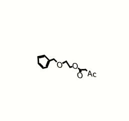 CC(=O)CC(=O)OCCOCc1ccccc1